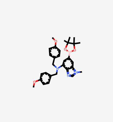 COc1ccc(CN(Cc2ccc(OC)cc2)c2cc(B3OC(C)(C)C(C)(C)O3)cc3c2ncn3C)cc1